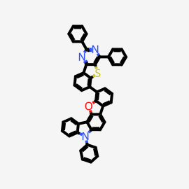 c1ccc(-c2nc(-c3ccccc3)c3sc4c(-c5cccc6c5oc5c6ccc6c5c5ccccc5n6-c5ccccc5)cccc4c3n2)cc1